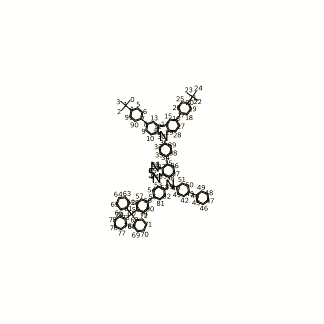 CC(C)(C)c1ccc(-c2ccc3c(c2)c2cc(-c4ccc(C(C)(C)C)cc4)ccc2n3-c2ccc(-c3ccc(N(c4ccc(-c5ccccc5)cc4)c4ccc(-c5ccc(C(c6ccccc6)(c6ccccc6)c6ccccc6)cc5)cc4)c4nsnc34)cc2)cc1